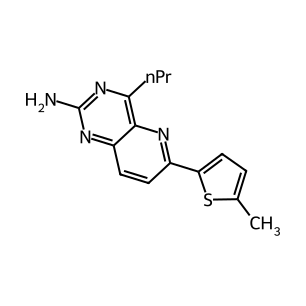 CCCc1nc(N)nc2ccc(-c3ccc(C)s3)nc12